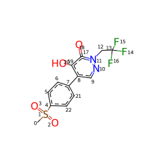 CS(=O)(=O)c1ccc(-c2cnn(CC(F)(F)F)c(=O)c2O)cc1